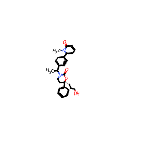 CC(c1ccc(-c2cccc(=O)n2C)cc1)N1CC[C@](CCCO)(c2ccccc2)OC1=O